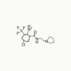 Nc1c(C(=O)NCCN2CCCC2)cc(Cl)cc1C(F)(F)F